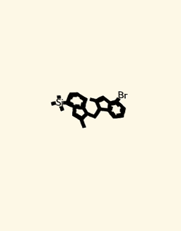 CC1=Cc2c(Br)cccc2C1CC1C(C)=Cc2c1cccc2[Si](C)(C)C